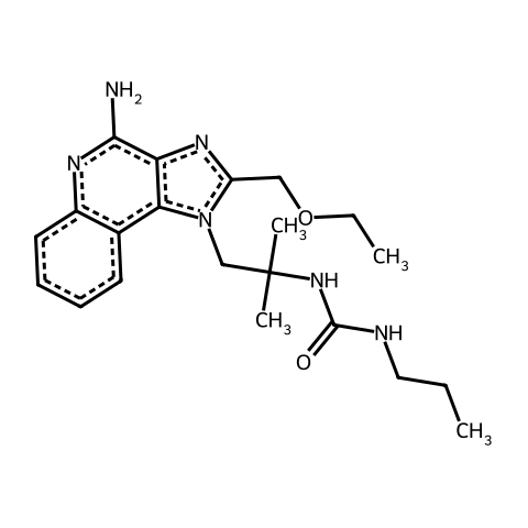 CCCNC(=O)NC(C)(C)Cn1c(COCC)nc2c(N)nc3ccccc3c21